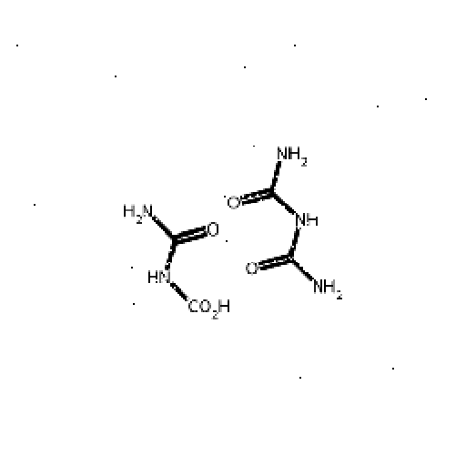 NC(=O)NC(=O)O.NC(=O)NC(N)=O